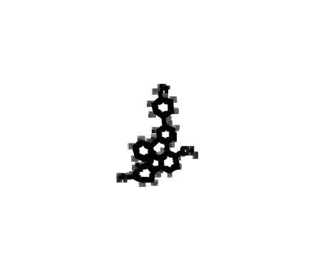 Cc1ccc2c(oc3nc(C(C)C)ccc32)c1-c1ncc(-c2ccc(C(C)C)cc2)cc1-c1ccccc1